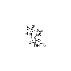 C=CCON(C(O)Cl)C1CN(I)C(C(=O)OC)c2ncsc21